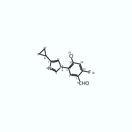 O=Cc1cc(-n2cnc(C3CC3)c2)c(Cl)cc1F